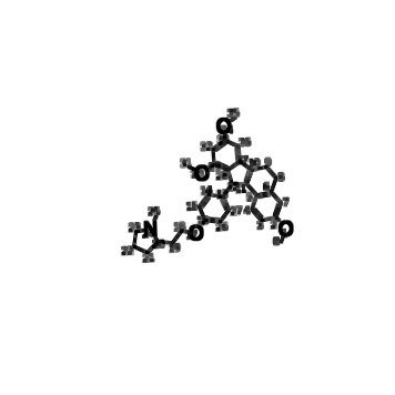 COc1ccc2c(c1)CCC1=C2C(c2ccc(OCCC3CCCN3C)cc2)c2c(OC)cc(OC)cc21